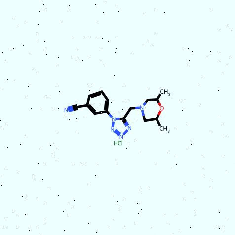 CC1CN(Cc2nnnn2-c2cccc(C#N)c2)CC(C)O1.Cl